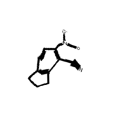 N#Cc1c([N+](=O)[O-])ccc2c1CCC2